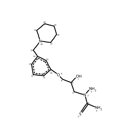 NC(=S)N(N)CC(O)COc1cccc(CN2CCCCC2)c1